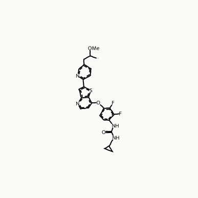 [CH2]C(Cc1ccc(-c2cc3nccc(Oc4ccc(NC(=O)NC5CC5)c(F)c4F)c3s2)nc1)OC